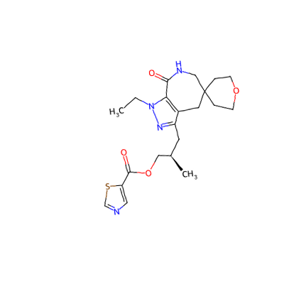 CCn1nc(C[C@@H](C)COC(=O)c2cncs2)c2c1C(=O)NCC1(CCOCC1)C2